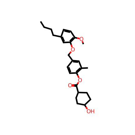 CCCCc1ccc(OC)c(OCc2ccc(OC(=O)C3CCC(O)CC3)c(C)c2)c1